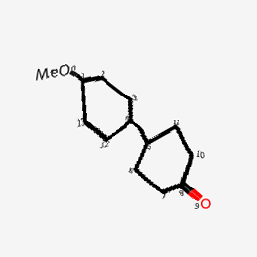 COC1CCC(C2CCC(=O)CC2)CC1